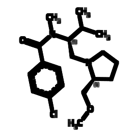 COC[C@@H]1CCCN1C[C@H](C(C)C)N(C)C(=O)c1ccc(Cl)cc1